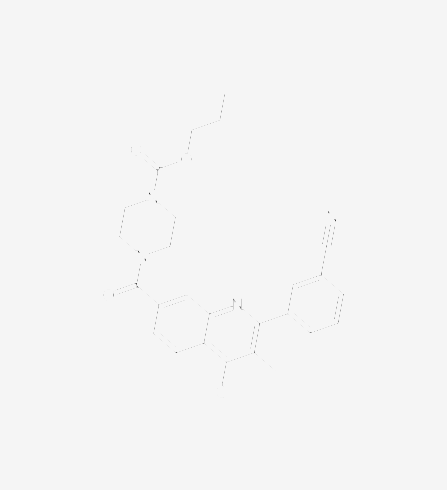 CCCOC(=O)N1CCN(C(=O)c2ccc3c(Cl)c(C)c(-c4cccc(C#N)c4)nc3c2)CC1